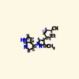 CC/C=C(\C=C/CC#N)c1cn(-c2ccnc3[nH]ccc23)nc1C